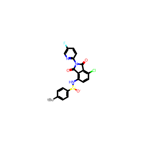 CC(C)(C)c1ccc([S+]([O-])Nc2ccc(Cl)c3c2C(=O)N(c2ccc(F)cn2)C3=O)cc1